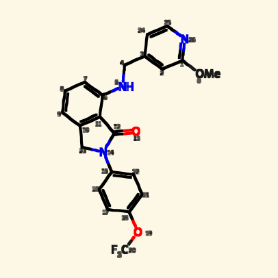 COc1cc(CNc2cccc3c2C(=O)N(c2ccc(OC(F)(F)F)cc2)C3)ccn1